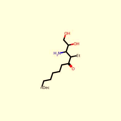 CCCCCCCCCCCCCCCC(=O)C(CC)C(N)C(O)CO